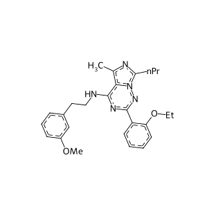 CCCc1nc(C)c2c(NCCc3cccc(OC)c3)nc(-c3ccccc3OCC)nn12